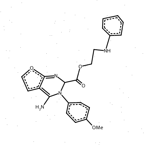 COc1ccc(N2C(N)=c3ccoc3=NC2C(=O)OCCNc2ccccc2)cc1